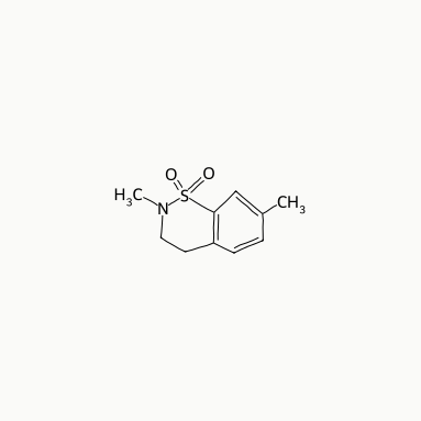 Cc1ccc2c(c1)S(=O)(=O)N(C)CC2